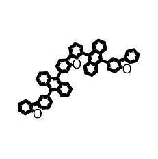 c1ccc2c(c1)oc1ccc(-c3c4ccccc4c(-c4ccc5c(c4)oc4c(-c6c7ccccc7c(-c7ccc8oc9ccccc9c8c7)c7ccccc67)cccc45)c4ccccc34)cc12